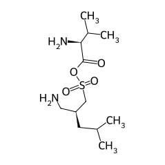 CC(C)C[C@@H](CN)CS(=O)(=O)OC(=O)[C@@H](N)C(C)C